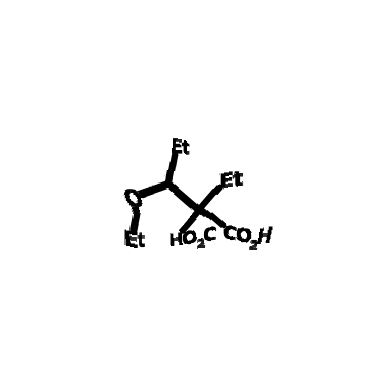 CCOC(CC)C(CC)(C(=O)O)C(=O)O